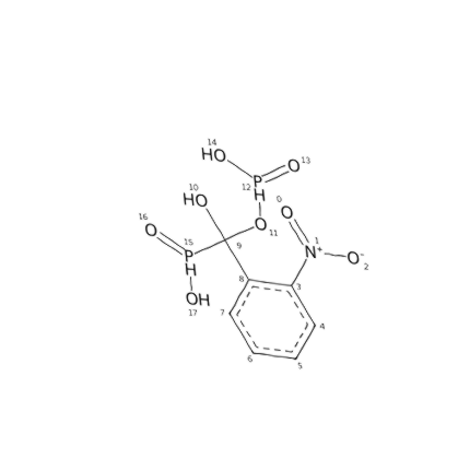 O=[N+]([O-])c1ccccc1C(O)(O[PH](=O)O)[PH](=O)O